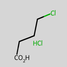 Cl.O=C(O)CCCCl